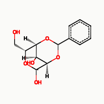 OC[C@H]1O[C](O)[C@@H]2OC(c3ccccc3)O[C@H]1[C@@H]2O